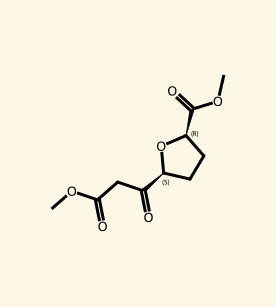 COC(=O)CC(=O)[C@@H]1CC[C@H](C(=O)OC)O1